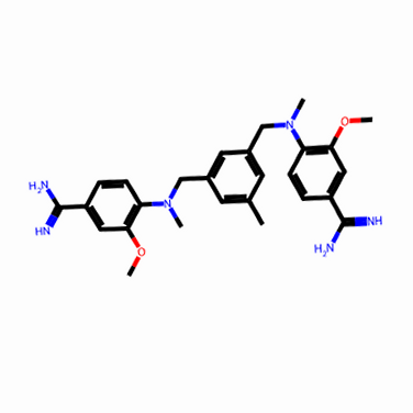 COc1cc(C(=N)N)ccc1N(C)Cc1cc(C)cc(CN(C)c2ccc(C(=N)N)cc2OC)c1